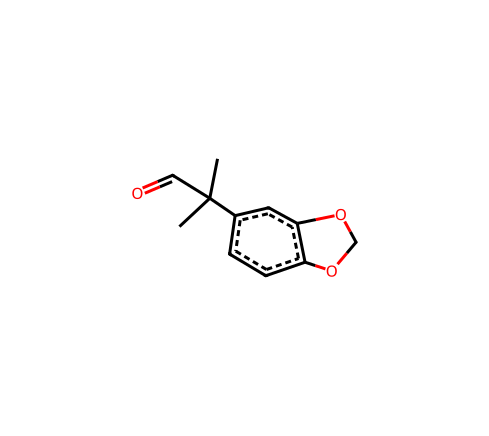 CC(C)(C=O)c1ccc2c(c1)OCO2